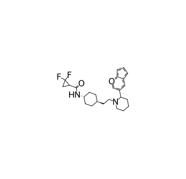 O=C(N[C@H]1CC[C@H](CCN2CCCCC2c2coc3cccc-3c2)CC1)C1CC1(F)F